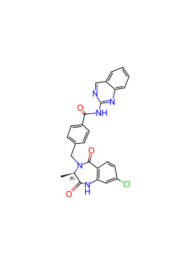 C[C@@H]1C(=O)Nc2cc(Cl)ccc2C(=O)N1Cc1ccc(C(=O)Nc2ncc3ccccc3n2)cc1